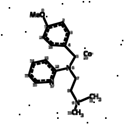 COc1ccc(CN(CCN(C)C)c2ccccn2)cc1.[Co]